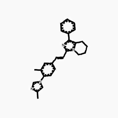 Cc1cn(-c2ccc(/C=C/c3nc(-c4ccccc4)c4n3CCCC4)cc2C)cn1